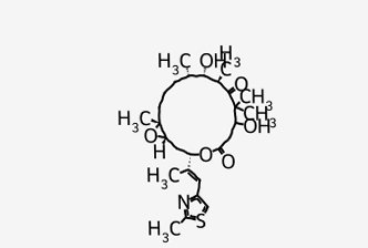 C/C(=C\c1csc(C)n1)[C@@H]1C[C@@H]2O[C@]2(C)CCC[C@H](C)[C@H](O)[C@@H](C)C(=O)C(C)(C)C(O)CC(=O)O1